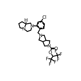 O=C(OC(C(F)(F)F)C(F)(F)F)N1CC2CN(Cc3ccc(Cl)cc3N3CCN4CCC[C@@H]4C3)CC2C1